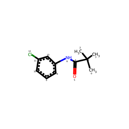 CC(C)(C)C(=O)Nc1cc[c]c(Cl)c1